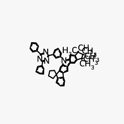 CC1(C)c2cc3c4cc5c(cc4n(-c4cccc(-c6nc(-c7ccccc7)nc(-c7ccccc7)n6)c4)c3cc2C(C)(C)C1(C)C)C1(CCCC1)c1ccccc1-5